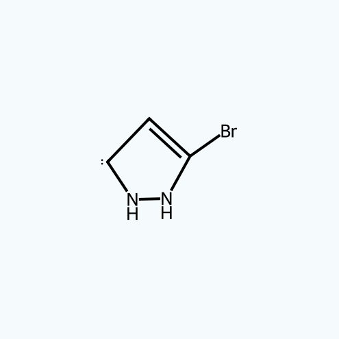 BrC1=C[C]NN1